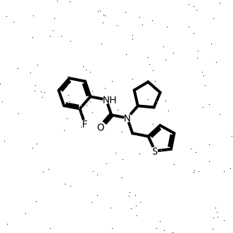 O=C(Nc1ccccc1F)N(Cc1cccs1)C1CCCC1